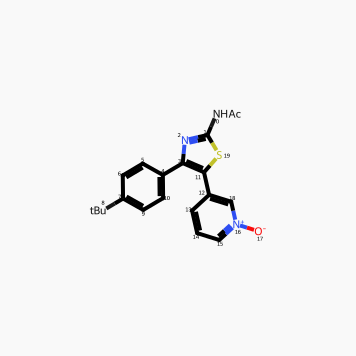 CC(=O)Nc1nc(-c2ccc(C(C)(C)C)cc2)c(-c2ccc[n+]([O-])c2)s1